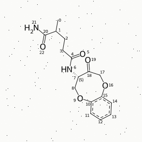 CC(C[CH]C(=O)N[C@H]1COc2ccccc2OCC1=O)C(N)=O